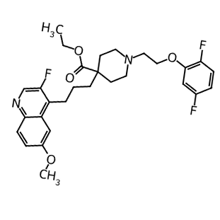 CCOC(=O)C1(CCCc2c(F)cnc3ccc(OC)cc23)CCN(CCOc2cc(F)ccc2F)CC1